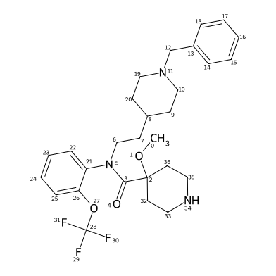 COC1(C(=O)N(CCC2CCN(Cc3ccccc3)CC2)c2ccccc2OC(F)(F)F)CCNCC1